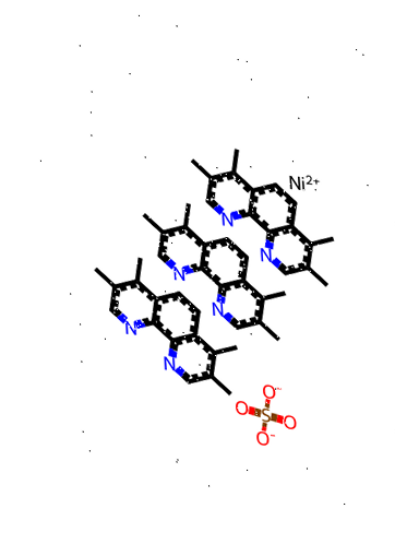 Cc1cnc2c(ccc3c(C)c(C)cnc32)c1C.Cc1cnc2c(ccc3c(C)c(C)cnc32)c1C.Cc1cnc2c(ccc3c(C)c(C)cnc32)c1C.O=S(=O)([O-])[O-].[Ni+2]